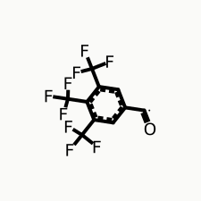 O=[C]c1cc(C(F)(F)F)c(C(F)(F)F)c(C(F)(F)F)c1